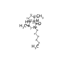 CCCCCCN1C[C@@H](C)[C@H]2CC[C@H](C)[C@H]2C1=O